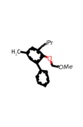 COCOc1c(-c2ccccc2)cc(C)cc1C(C)C